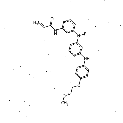 C=CC(=O)Nc1cccc(N(F)c2ccnc(Nc3ccc(OCCOC)cc3)n2)c1